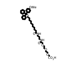 COc1ccc(C(SCCCCCCCCCCC(=O)NCCCNC(=O)COCCOCCOCC(=O)O)(c2ccccc2)c2ccccc2)cc1